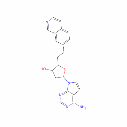 Nc1ncnc2c1ccn2C1CC(O)C(CCc2ccc3ccncc3c2)O1